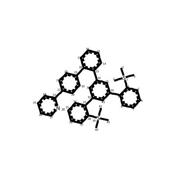 CS(C)(C)c1ccccc1-c1cc(-c2ccccc2-c2ccc(-c3ccccn3)cc2)cc(-c2ccccc2S(C)(C)C)c1